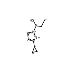 CCC(S)n1ccc(C2CC2)n1